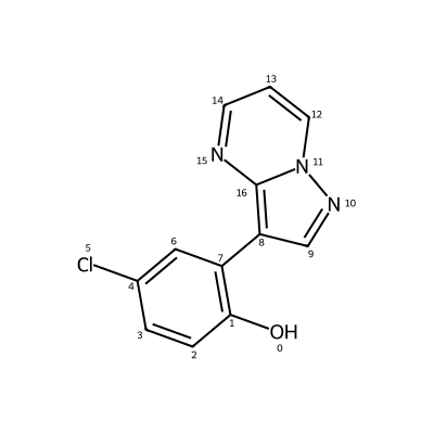 Oc1ccc(Cl)cc1-c1cnn2cccnc12